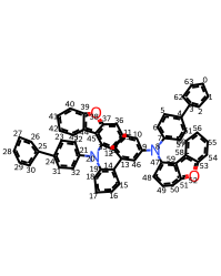 c1ccc(-c2ccc(N(c3cccc(-c4ccccc4N(c4ccc(-c5ccccc5)cc4)c4cccc5oc6ccccc6c45)c3)c3cccc4oc5ccccc5c34)cc2)cc1